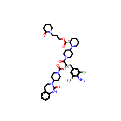 Nc1c(Cl)cc(C[C@@H](OC(=O)N2CCC(N3CCc4ccccc4NC3=O)CC2)C(=O)N2CCC(N3CCCC[C@H]3C(=O)OCCCN3CCCCC3=O)CC2)cc1C(F)(F)F